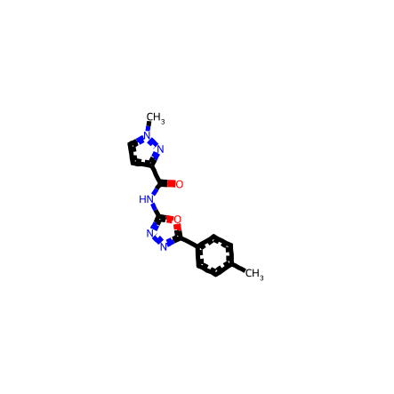 Cc1ccc(-c2nnc(NC(=O)c3ccn(C)n3)o2)cc1